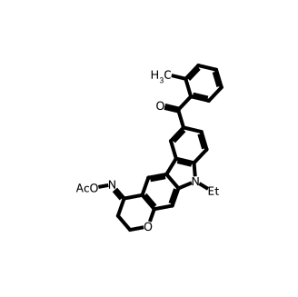 CCn1c2ccc(C(=O)c3ccccc3C)cc2c2cc3c(cc21)OCC/C3=N\OC(C)=O